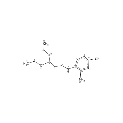 CCOC(CCNc1ccc(Cl)cc1N)OCC